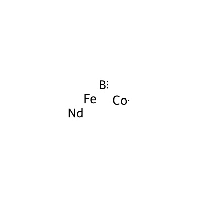 [B].[Co].[Fe].[Nd]